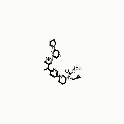 CC(c1cnn(-c2cncc(N3CCCC3)n2)c1)c1ccc(N2CCC[C@@H](N(CC3CC3)C(=O)OC(C)(C)C)C2)cn1